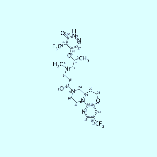 CC(CN(C)CCC(=O)N1CCN2c3ncc(C(F)(F)F)cc3OCCC2C1)Oc1cn[nH]c(=O)c1C(F)(F)F